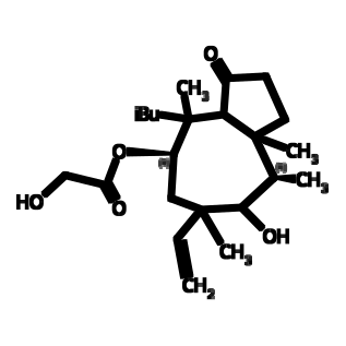 C=CC1(C)C[C@@H](OC(=O)CO)C(C)(C(C)CC)C2C(=O)CCC2(C)[C@@H](C)C1O